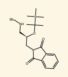 CC(C)(C)NC[C@H](CN1C(=O)c2ccccc2C1=O)OC(C)(C)[Si](C)(C)C